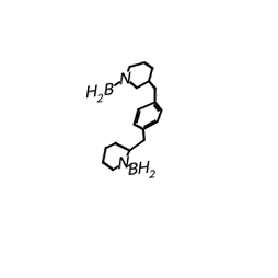 BN1CCCC(Cc2ccc(CC3CCCCN3B)cc2)C1